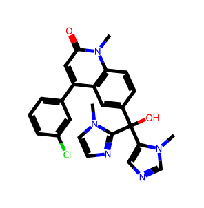 Cn1cncc1C(O)(c1ccc2c(c1)c(-c1cccc(Cl)c1)cc(=O)n2C)c1nccn1C